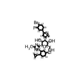 Cc1nc([C@@H]2O[C@H](CO)[C@H](O)[C@H](n3cc(-c4ccc(Br)c(F)c4)nn3)[C@H]2O)n(-c2cc(Cl)ccc2C2CC2)n1